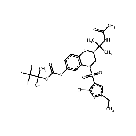 CCn1cc(S(=O)(=O)N2C[C@H](C(C)(C)NC(C)=O)Oc3ccc(NC(=O)OC(C)(C)C(F)(F)F)cc32)c(Cl)n1